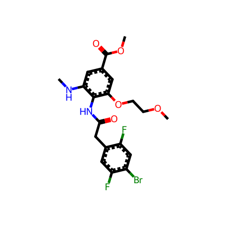 CNc1cc(C(=O)OC)cc(OCCOC)c1NC(=O)Cc1cc(F)c(Br)cc1F